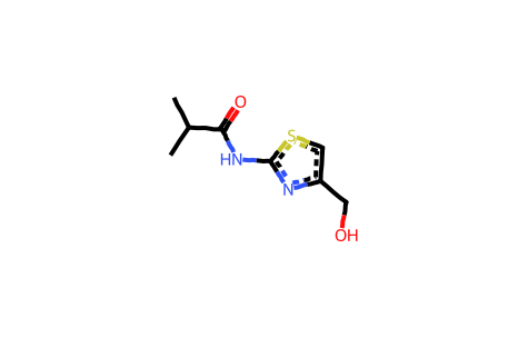 CC(C)C(=O)Nc1nc(CO)cs1